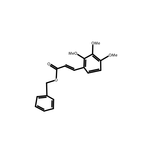 COc1ccc(C=CC(=O)OCc2ccccc2)c(OC)c1OC